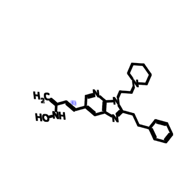 C=C(/C=C/c1cnc2c(c1)nc(CCc1ccccc1)n2CCN1CCCCC1)NO